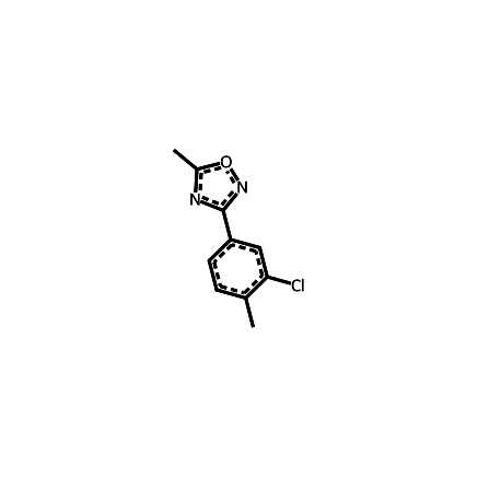 Cc1nc(-c2ccc(C)c(Cl)c2)no1